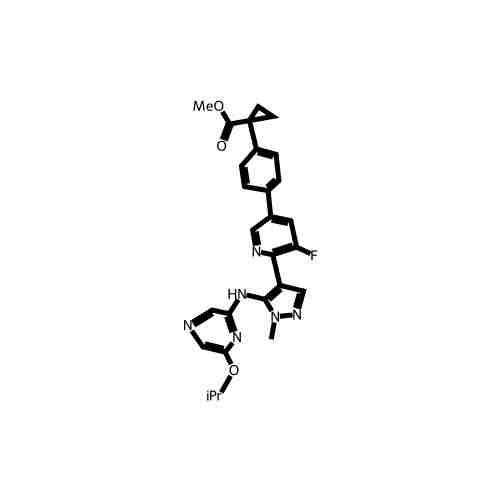 COC(=O)C1(c2ccc(-c3cnc(-c4cnn(C)c4Nc4cncc(OC(C)C)n4)c(F)c3)cc2)CC1